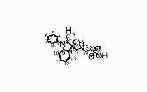 CC1=[N+](c2ccccc2)C2C=CC=CC2C1(C)CCCCS(=O)(=O)O